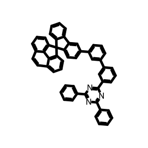 c1ccc(-c2nc(-c3ccccc3)nc(-c3cccc(-c4cccc(-c5ccc6c(c5)-c5ccccc5C65c6cccc7ccc8cccc5c8c67)c4)c3)n2)cc1